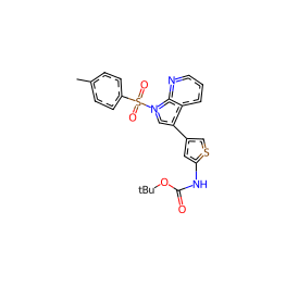 Cc1ccc(S(=O)(=O)n2cc(-c3csc(NC(=O)OC(C)(C)C)c3)c3cccnc32)cc1